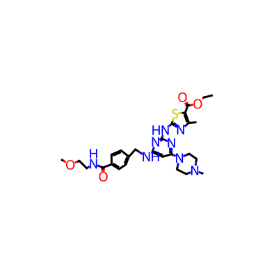 CCOC(=O)c1sc(Nc2nc(NCc3ccc(C(=O)NCCOC)cc3)cc(N3CCN(C)CC3)n2)nc1C